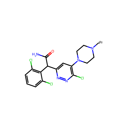 CC(C)N1CCN(c2cc(C(C(N)=O)c3c(Cl)cccc3Cl)nnc2Cl)CC1